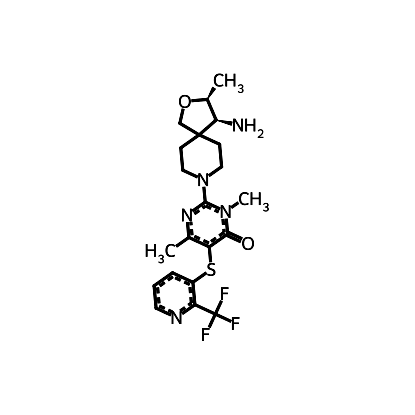 Cc1nc(N2CCC3(CC2)CO[C@@H](C)[C@H]3N)n(C)c(=O)c1Sc1cccnc1C(F)(F)F